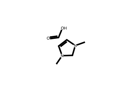 CN1C=CN(C)C1.O=CO